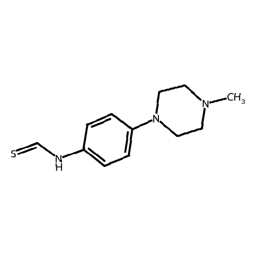 CN1CCN(c2ccc(NC=S)cc2)CC1